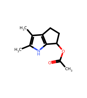 CC(=O)OC1CCc2c1[nH]c(C)c2C